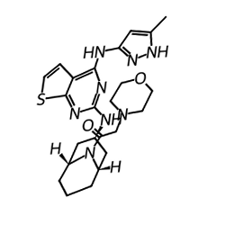 Cc1cc(Nc2nc(N[C@@H]3C[C@H]4CCC[C@@H](C3)N4C(=O)CN3CCOCC3)nc3sccc23)n[nH]1